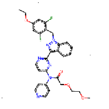 CCOc1cc(F)c(Cn2nc(-c3nccc(N(C(=O)COCCOC)c4ccncc4)n3)c3ccccc32)c(F)c1